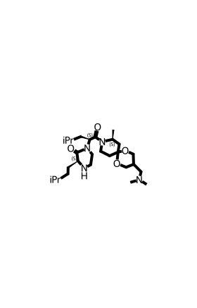 CC(C)CC[C@@H]1NCCN([C@@H](CC(C)C)C(=O)N2CCC3(C[C@@H]2C)OCC(CN(C)C)CO3)C1=O